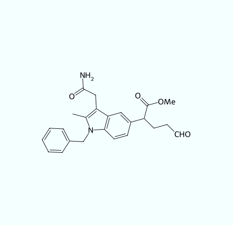 COC(=O)C(CCC=O)c1ccc2c(c1)c(CC(N)=O)c(C)n2Cc1ccccc1